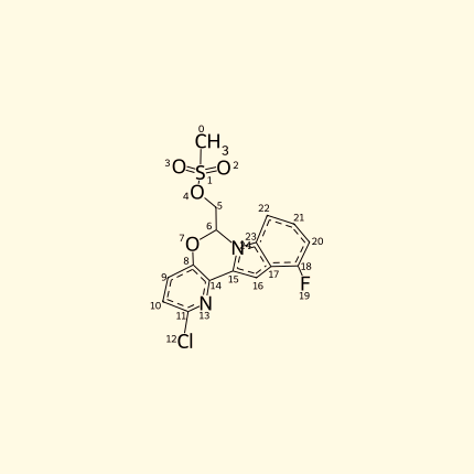 CS(=O)(=O)OCC1Oc2ccc(Cl)nc2-c2cc3c(F)cccc3n21